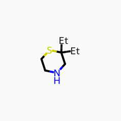 CCC1(CC)CNCCS1